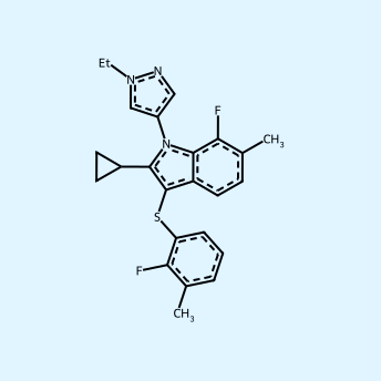 CCn1cc(-n2c(C3CC3)c(Sc3cccc(C)c3F)c3ccc(C)c(F)c32)cn1